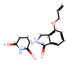 C=CCOc1cccc2c1CN([C@H]1CCC(=O)NC1=O)C2=O